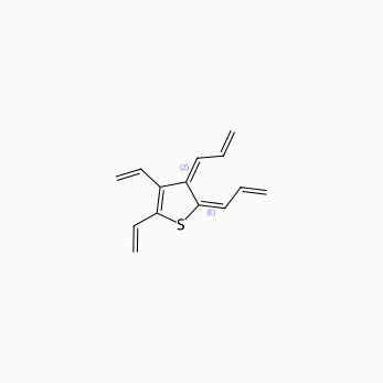 C=C/C=c1/c(C=C)c(C=C)s/c1=C/C=C